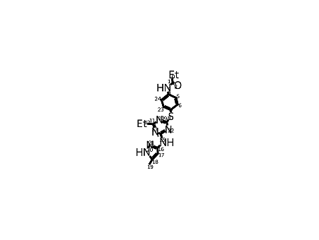 CCC(=O)Nc1ccc(Sc2nc(CC)nc(Nc3cc(C)[nH]n3)n2)cc1